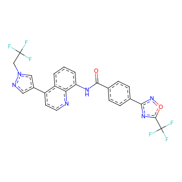 O=C(Nc1cccc2c(-c3cnn(CC(F)(F)F)c3)ccnc12)c1ccc(-c2noc(C(F)(F)F)n2)cc1